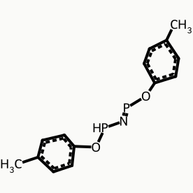 Cc1ccc(OP=NPOc2ccc(C)cc2)cc1